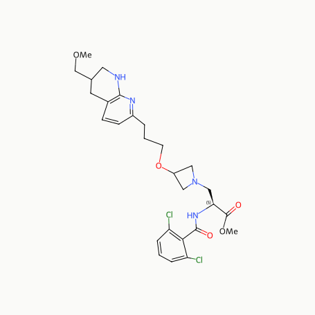 COCC1CNc2nc(CCCOC3CN(C[C@H](NC(=O)c4c(Cl)cccc4Cl)C(=O)OC)C3)ccc2C1